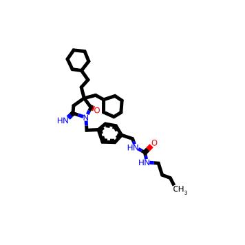 CCCCNC(=O)NCc1ccc(CN2C(=N)CC(CCC3CCCCC3)(CC3CCCCC3)C2=O)cc1